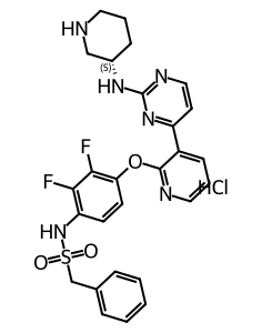 Cl.O=S(=O)(Cc1ccccc1)Nc1ccc(Oc2ncccc2-c2ccnc(N[C@H]3CCCNC3)n2)c(F)c1F